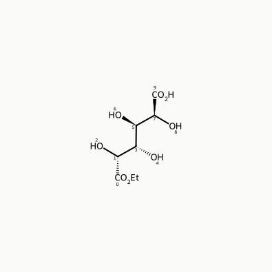 CCOC(=O)[C@H](O)[C@@H](O)[C@@H](O)[C@H](O)C(=O)O